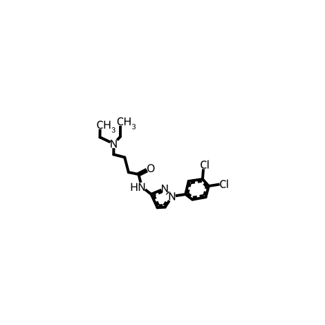 CCN(CC)CCCC(=O)Nc1ccn(-c2ccc(Cl)c(Cl)c2)n1